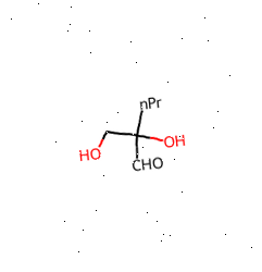 CCCC(O)(C=O)CO